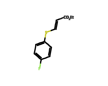 CCOC(=O)C=CSc1ccc(F)cc1